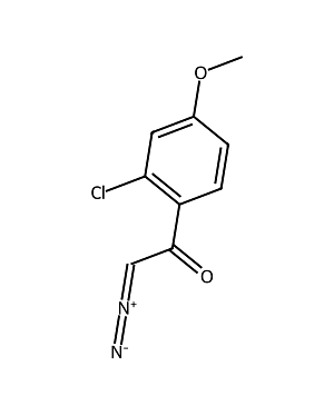 COc1ccc(C(=O)C=[N+]=[N-])c(Cl)c1